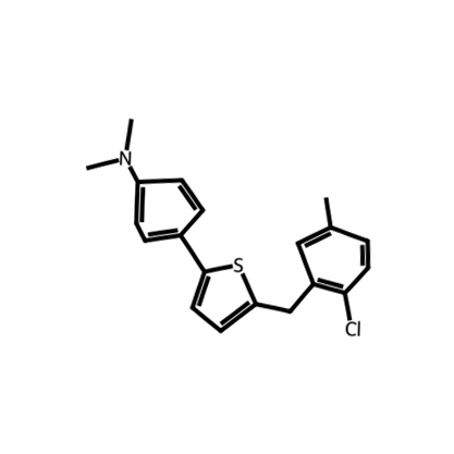 Cc1ccc(Cl)c(Cc2ccc(-c3ccc(N(C)C)cc3)s2)c1